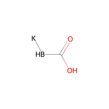 O=C(O)[BH][K]